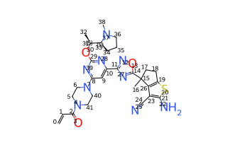 C=CC(=O)N1CCN(c2cc(-c3noc(C4(C)CCc5sc(N)c(C#N)c54)n3)nc(O[C@@H](C)[C@@H]3CCCN3C)n2)CC1